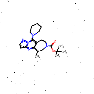 CC1CN(C(=O)OC(C)(C)C)CCc2c1nc1ccnn1c2N1CCCCC1